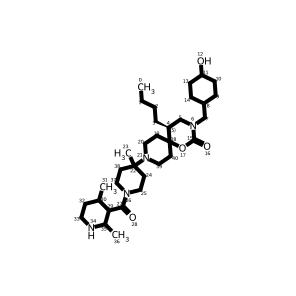 CCCC[C@H]1CN(CC2CCC(O)CC2)C(=O)OC12CCN(C1(C)CCN(C(=O)C3C(C)CCNC3C)CC1)CC2